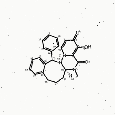 CN1C(=O)c2c(O)c(=O)ccn2N2[C@H](c3ccccc3)c3ccccc3CCC[C@H]12